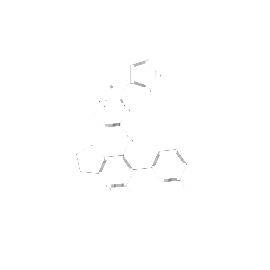 NS(=O)(=NC(=O)Nc1c2c(nc(C(F)(F)F)c1-c1cccc(F)c1)CCC2)c1cc[nH]n1